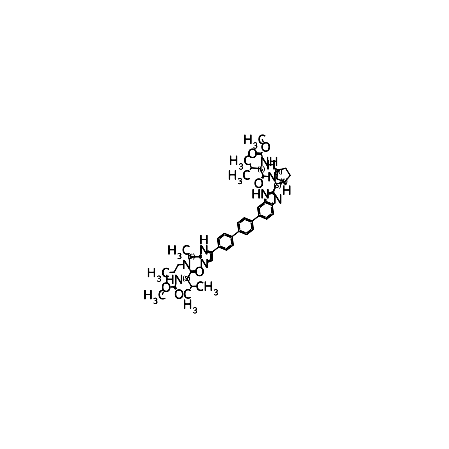 CCCN(C(=O)[C@@H](NC(=O)OC)C(C)C)[C@@H](C)c1ncc(-c2ccc(-c3ccc(-c4ccc5nc([C@@H]6[C@H]7CC[C@H](C7)N6C(=O)[C@@H](NC(=O)OC)C(C)C)[nH]c5c4)cc3)cc2)[nH]1